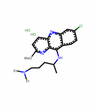 CCN(CC)CCCC(C)Nc1c2ccc(Cl)cc2nc2ccc(OC)nc12.Cl.Cl